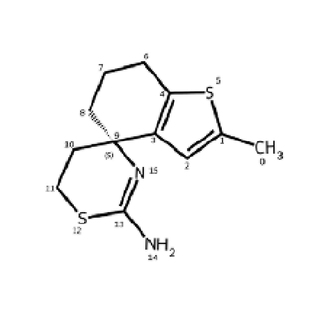 Cc1cc2c(s1)CCC[C@]21CCSC(N)=N1